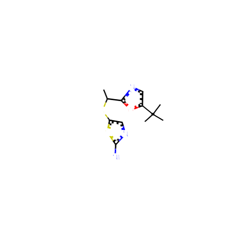 CC(Sc1cnc(N)s1)c1ncc(C(C)(C)C)o1